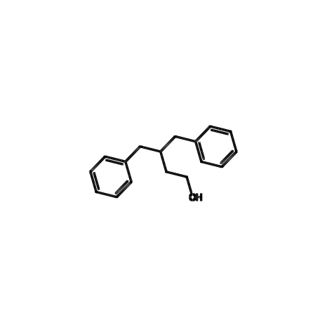 OCCC(Cc1ccccc1)Cc1ccccc1